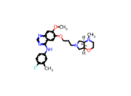 COc1cc2ncnc(Nc3ccc(F)c(C)c3)c2cc1OCCCN1C[C@@H]2[C@@H](C1)OCCN2C